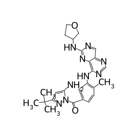 Cc1ccc(C(=O)n2nc(C(C)(C)C)cc2N)cc1Nc1ncnc2cnc(NC3CCOC3)nc12